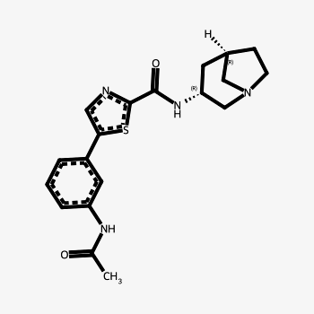 CC(=O)Nc1cccc(-c2cnc(C(=O)N[C@@H]3C[C@H]4CCN(C4)C3)s2)c1